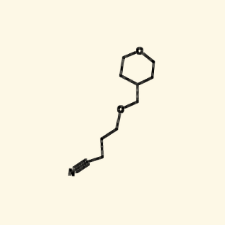 N#CCCCOCC1CCOCC1